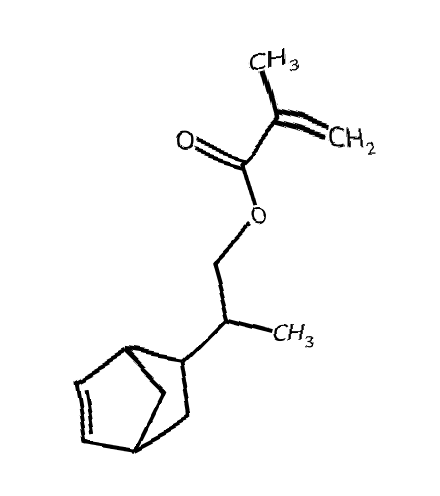 C=C(C)C(=O)OCC(C)C1CC2C=CC1C2